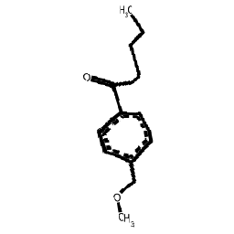 CCCCC(=O)c1ccc(COC)cc1